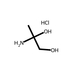 CC(N)(O)CO.Cl